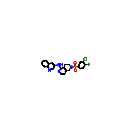 O=S(=O)(c1ccc(F)c(Cl)c1)N1CCc2c(ccnc2Nc2cnc3ccccc3c2)C1